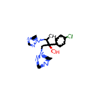 CC(n1cncn1)C(O)(Cn1cncn1)c1ccc(Cl)cc1